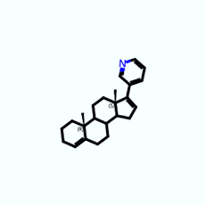 C[C@]12CCCC=C1CCC1C2CC[C@]2(C)C(c3cccnc3)=CCC12